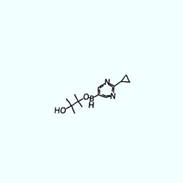 CC(C)(O)C(C)(C)OBc1cnc(C2CC2)nc1